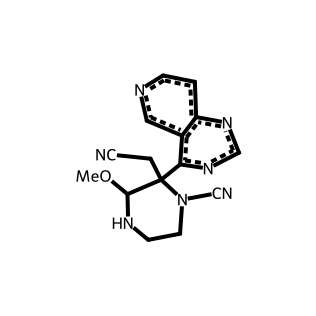 COC1NCCN(C#N)C1(CC#N)c1ncnc2ccncc12